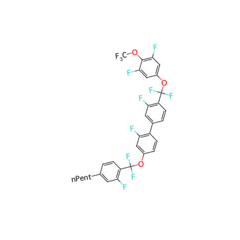 CCCCCc1ccc(C(F)(F)Oc2ccc(-c3ccc(C(F)(F)Oc4cc(F)c(OC(F)(F)F)c(F)c4)c(F)c3)c(F)c2)c(F)c1